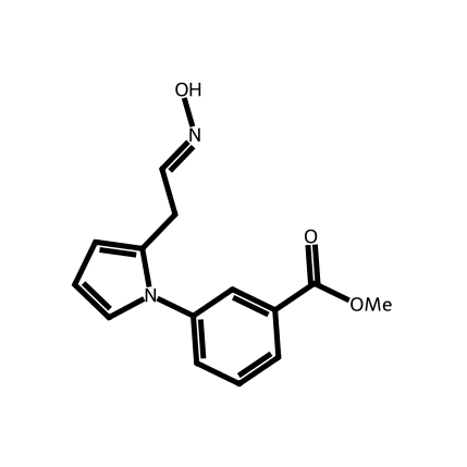 COC(=O)c1cccc(-n2cccc2CC=NO)c1